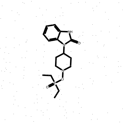 CCP(=O)(CC)ON1CCC(n2c(=O)[nH]c3ccccc32)CC1